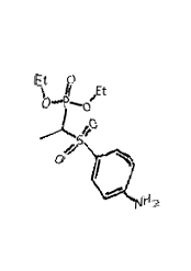 CCOP(=O)(OCC)C(C)S(=O)(=O)c1ccc(N)cc1